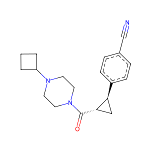 N#Cc1ccc([C@H]2C[C@@H]2C(=O)N2CCN(C3CCC3)CC2)cc1